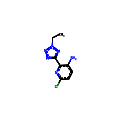 CCn1nnc(-c2nc(Cl)ccc2N)n1